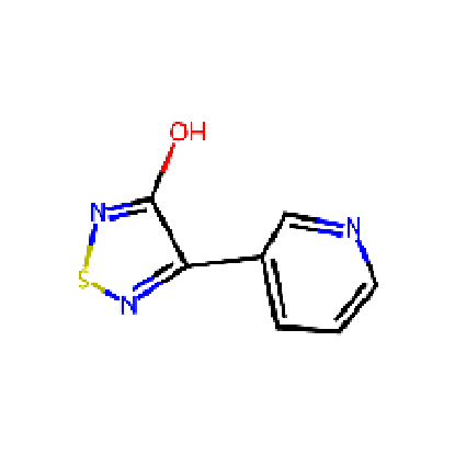 Oc1nsnc1-c1cccnc1